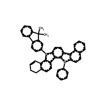 CC1(C)c2ccccc2-c2ccc(-n3c4ccc5c6c7ccccc7ccc6n(-c6ccccc6)c5c4c4ccc5c(c43)C=CCC5)cc21